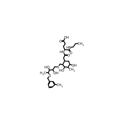 CCCNC(=O)C(CCC(=O)O)NC(=O)CC1CC(O)C(C)C(O)C1CSCC(O)C(O)C(C)SCc1cccc(C)c1